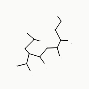 CC(C)C(N)CC(C(C)Cl)C(C)CC(Cl)C(C)CCCl